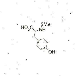 CSN[C@@H](Cc1ccc(O)cc1)C(=O)O